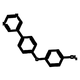 Cc1ccc(Oc2ccc(-c3cncnc3)cc2)cc1